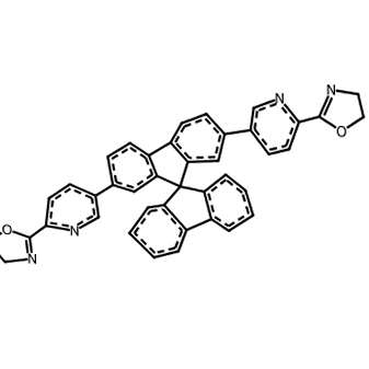 c1ccc2c(c1)-c1ccccc1C21c2cc(-c3ccc(C4=NCCO4)nc3)ccc2-c2ccc(-c3ccc(C4=NCCO4)nc3)cc21